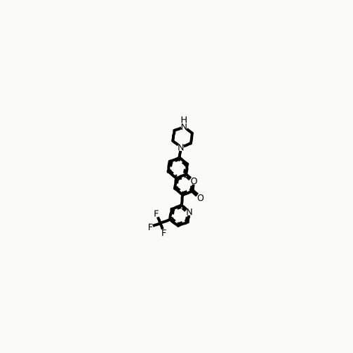 O=c1oc2cc(N3CCNCC3)ccc2cc1-c1cc(C(F)(F)F)ccn1